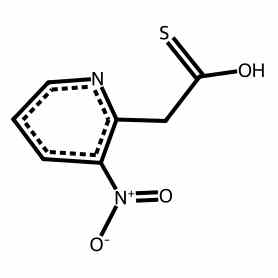 O=[N+]([O-])c1cccnc1CC(O)=S